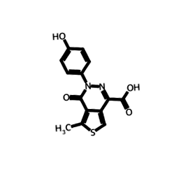 Cc1scc2c(C(=O)O)nn(-c3ccc(O)cc3)c(=O)c12